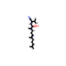 CC(C)=CCC/C(C)=C/CC/C(C)=C(O)/C=C(/C#N)C(C)C